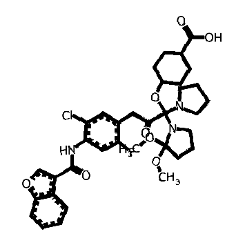 COC1(OC)CCCN1C(OC1CCC(C(=O)O)CC1)(C(=O)Cc1cc(Cl)c(NC(=O)c2coc3ccccc23)cc1F)N1CCCC1